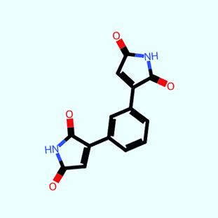 O=C1C=C(c2cccc(C3=CC(=O)NC3=O)c2)C(=O)N1